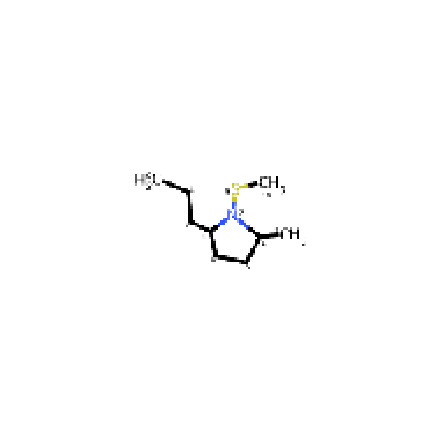 CCCC1CCC(C)N1SC